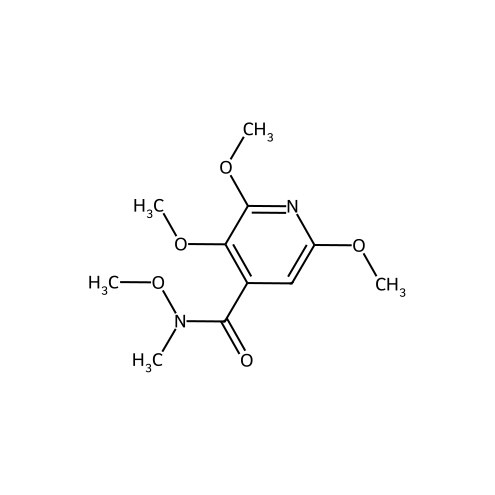 COc1cc(C(=O)N(C)OC)c(OC)c(OC)n1